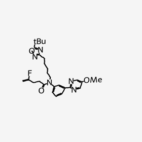 C=C(F)CCC(=O)N(CCCCCc1noc(C(C)(C)C)n1)c1cccc(-c2ncc(OC)cn2)c1